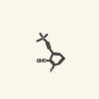 CS(C)(C)C#Cc1cccc(F)c1C=O